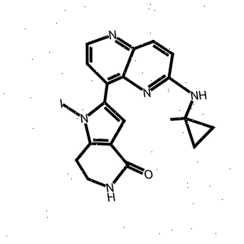 CC1(Nc2ccc3nccc(-c4cc5c(n4I)CCNC5=O)c3n2)CC1